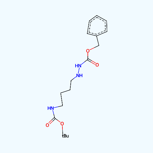 CC(C)(C)OC(=O)NCCCCNNC(=O)OCc1ccccc1